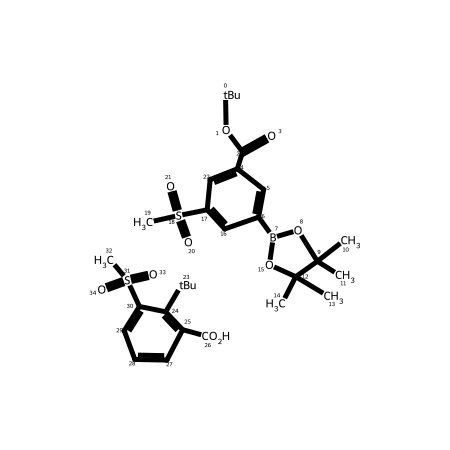 CC(C)(C)OC(=O)c1cc(B2OC(C)(C)C(C)(C)O2)cc(S(C)(=O)=O)c1.CC(C)(C)c1c(C(=O)O)cccc1S(C)(=O)=O